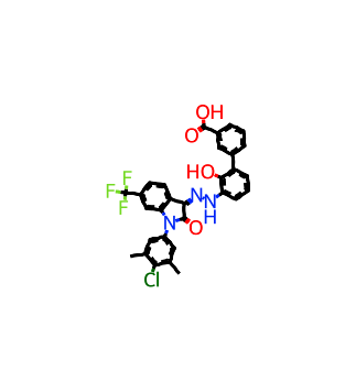 Cc1cc(N2C(=O)/C(=N\Nc3cccc(-c4cccc(C(=O)O)c4)c3O)c3ccc(C(F)(F)F)cc32)cc(C)c1Cl